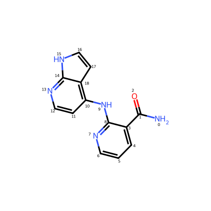 NC(=O)c1cccnc1Nc1ccnc2[nH]ccc12